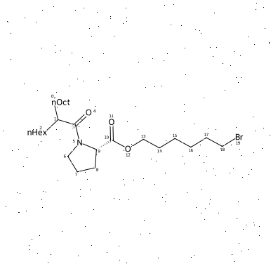 CCCCCCCCC(CCCCCC)C(=O)N1CCC[C@H]1C(=O)OCCCCCCBr